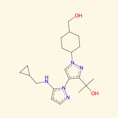 CC(C)(O)c1nn(C2CCC(CO)CC2)cc1-n1nccc1NCC1CC1